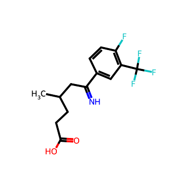 CC(CCC(=O)O)CC(=N)c1ccc(F)c(C(F)(F)F)c1